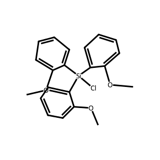 COc1ccccc1[Si](Cl)(c1ccccc1OC)c1ccccc1OC